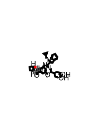 COc1cc(C(=O)N2C[C@H]3CC[C@@H]2[C@@H]3N)cc2nc(-c3cc4ccccc4n3CC3CC3)n(CCC3CCS(O)(O)CC3)c12